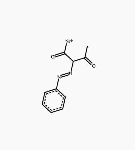 CC(=O)C(/N=N/c1ccccc1)C([NH])=O